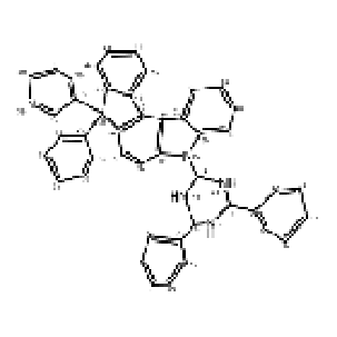 c1ccc(C2NC(c3ccccc3)NC(n3c4ccccc4c4c5c(ccc43)C(c3ccccc3)(c3cccnc3)c3ccccc3-5)N2)cc1